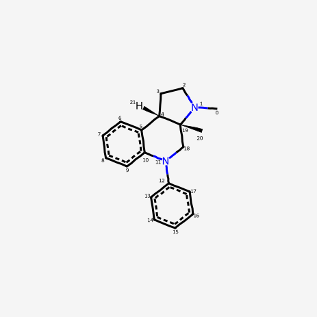 CN1CC[C@H]2c3ccccc3N(c3ccccc3)C[C@]21C